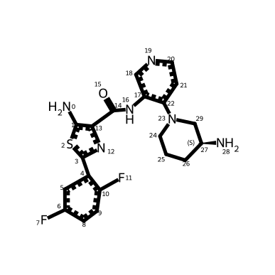 Nc1sc(-c2cc(F)ccc2F)nc1C(=O)Nc1cnccc1N1CCC[C@H](N)C1